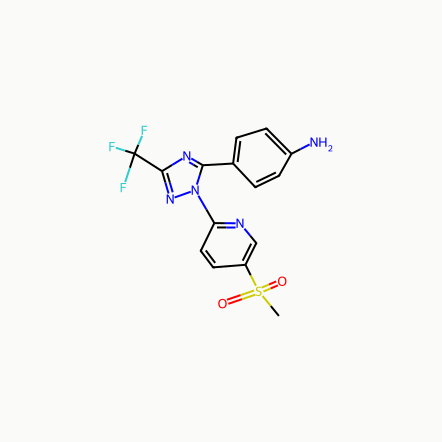 CS(=O)(=O)c1ccc(-n2nc(C(F)(F)F)nc2-c2ccc(N)cc2)nc1